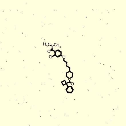 CN(C)C(=O)c1ccc(OCCCCC2CCN(C(=O)C3(c4ccccc4)CCC3)CC2)cc1Cl